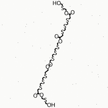 O=C(CSCSCSCCOOCSCSCSCOC(=O)CSCSCSCC(=O)OCSCO)OCSCO